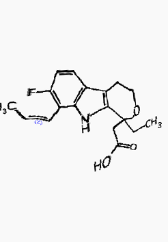 C/C=C\c1c(F)ccc2c3c([nH]c12)C(CC)(CC(=O)O)OCC3